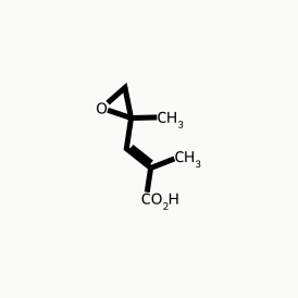 C/C(=C\C1(C)CO1)C(=O)O